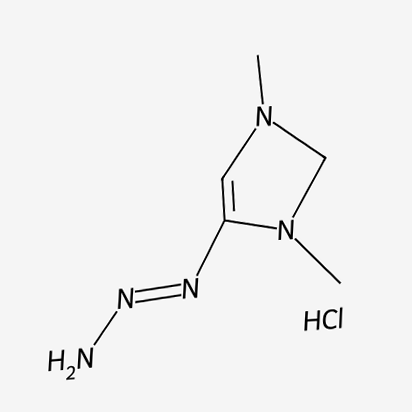 CN1C=C(N=NN)N(C)C1.Cl